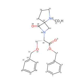 O=C(OCc1ccccc1)[C@H](COCc1ccccc1)N1CC2(CCCN2C(=O)O)C1=O